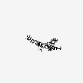 Cc1cc(-c2ccc3cc(S(=O)(=O)NC4CCC(C(=O)N5CCNC[C@H]5c5ccccc5)CC4)ccc3n2)cc(C)n1